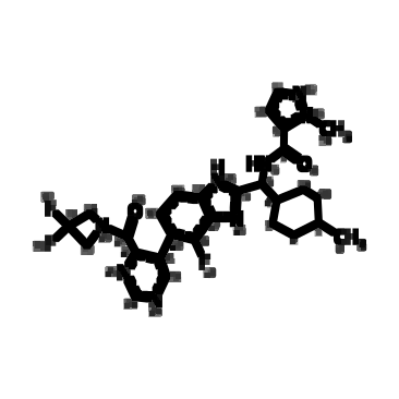 CC1CCC(C(NC(=O)c2ccnn2C)c2nc3c(F)c(-c4cncnc4C(=O)N4CC(F)(F)C4)ccc3[nH]2)CC1